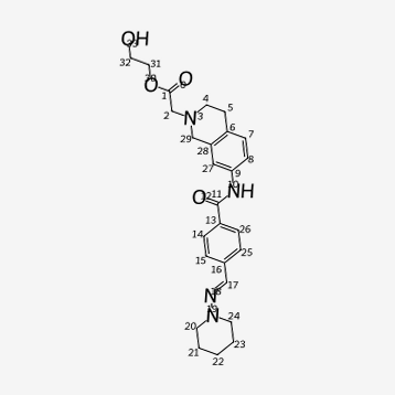 O=C(CN1CCc2ccc(NC(=O)c3ccc(C=NN4CCCCC4)cc3)cc2C1)OCCO